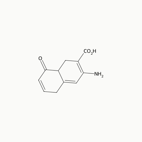 NC1=C(C(=O)O)CC2C(=O)C=CCC2=C1